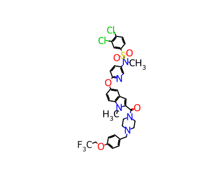 CN(c1ccc(Oc2ccc3c(c2)cc(C(=O)N2CCN(Cc4ccc(OCC(F)(F)F)cc4)CC2)n3C)nc1)S(=O)(=O)c1ccc(Cl)c(Cl)c1